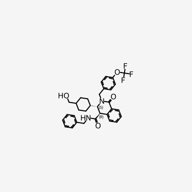 O=C(NCc1ccccc1)[C@@H]1c2ccccc2C(=O)N(Cc2ccc(OC(F)(F)F)cc2)[C@H]1C1CCC(CO)CC1